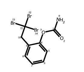 NC(=O)Oc1ccccc1CC(Br)(Br)Br